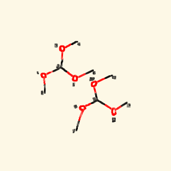 COC(OC)OC.COC(OC)OC